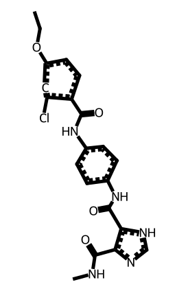 CCOc1ccc(C(=O)Nc2ccc(NC(=O)c3[nH]cnc3C(=O)NC)cc2)c(Cl)c1